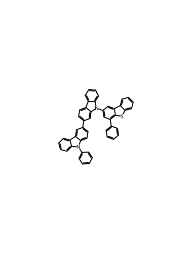 c1ccc(-c2cc(-n3c4ccccc4c4ccc(-c5ccc6c(c5)c5ccccc5n6-c5ccccc5)cc43)cc3c2sc2ccccc23)cc1